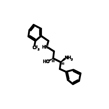 N[C@@H](Cc1ccccc1)[C@H](O)CNCc1ccccc1C(F)(F)F